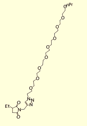 CCCOCCOCCOCCOCCOCCOCCOCCOCCOCCn1cc(CN2C(=O)CC(CC)C2=O)nn1